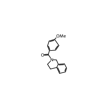 COc1ccc(C(=O)N2CCc3ccccc3C2)cc1